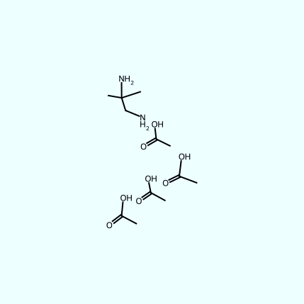 CC(=O)O.CC(=O)O.CC(=O)O.CC(=O)O.CC(C)(N)CN